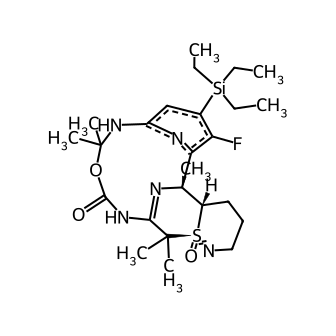 CC[Si](CC)(CC)c1cc2nc(c1F)[C@@]1(C)N=C(NC(=O)OC(C)(C)N2)C(C)(C)[S@]2(=O)=NCCC[C@@H]12